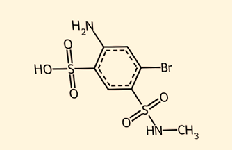 CNS(=O)(=O)c1cc(S(=O)(=O)O)c(N)cc1Br